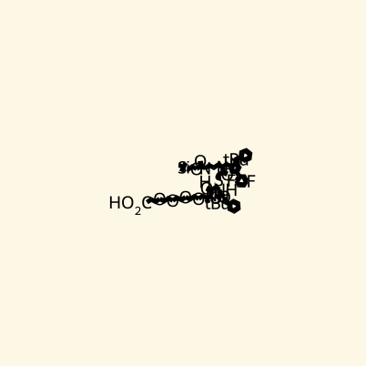 CC(C)(C)C(COCCOCCOCCOCCC(=O)O)NC(=O)[C@H](CSCC(=O)N(CCCNC(=O)OCC[Si](C)(C)C)[C@@H](c1cc(-c2cc(F)ccc2F)cn1Cc1ccccc1)C(C)(C)C)NC(=O)OCc1ccccc1